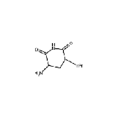 CCCC1CC(N)C(=O)NC1=O